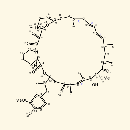 COc1cc(C[C@@H](C)[C@@H]2CC(=O)[C@H](C)/C=C(\C)[C@@H](O)[C@@H](OC)C(=O)[C@H](C)C[C@H](C)/C=C/C=C/C=C(\C)CC[C@@H]3CC[C@@H](C)[C@@](O)(O3)C(=O)C(=O)N3CCCC[C@H]3C(=O)O2)ccc1O